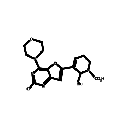 CC(C)(C)C1C(c2cc3nc(Cl)nc(N4CCOCC4)c3o2)=CCCN1C(=O)O